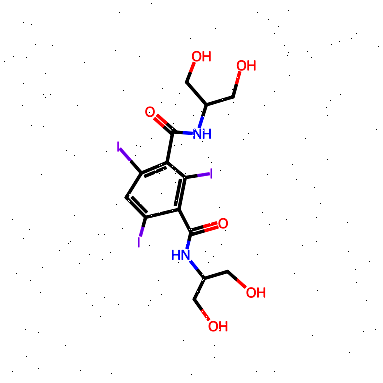 O=C(NC(CO)CO)c1c(I)cc(I)c(C(=O)NC(CO)CO)c1I